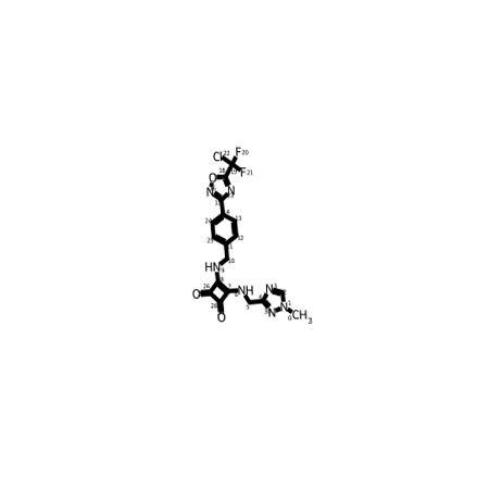 Cn1cnc(CNc2c(NCc3ccc(-c4noc(C(F)(F)Cl)n4)cc3)c(=O)c2=O)n1